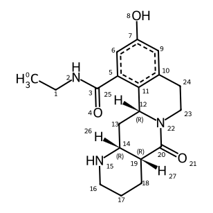 CCNC(=O)c1cc(O)cc2c1[C@H]1C[C@H]3NCCC[C@H]3C(=O)N1CC2